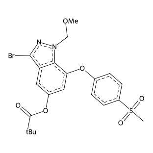 COCn1nc(Br)c2cc(OC(=O)C(C)(C)C)cc(Oc3ccc(S(C)(=O)=O)cc3)c21